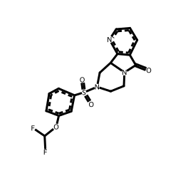 O=C1c2cccnc2C2CN(S(=O)(=O)c3cccc(OC(F)F)c3)CCN12